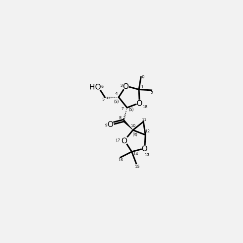 CC1(C)O[C@@H](CO)[C@@H](C(=O)[C@@]23CC2OC(C)(C)O3)O1